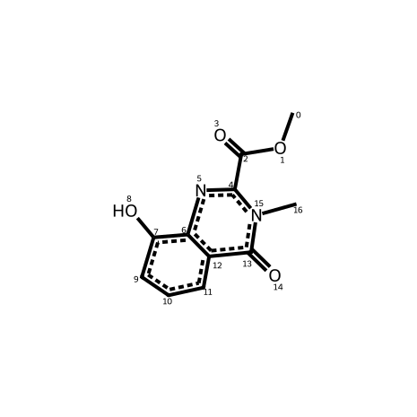 COC(=O)c1nc2c(O)cccc2c(=O)n1C